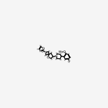 COc1ccc(F)cc1C1CCN(C2COC3(C2)CN(c2ncco2)C3)CC1